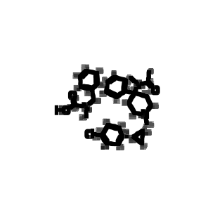 CC(=O)N(C)C1(c2ccccc2)CCN(C[C@@H]2C[C@@H]2c2ccc(Cl)cc2)CC1.CN(Cc1ccccc1)C(=O)O